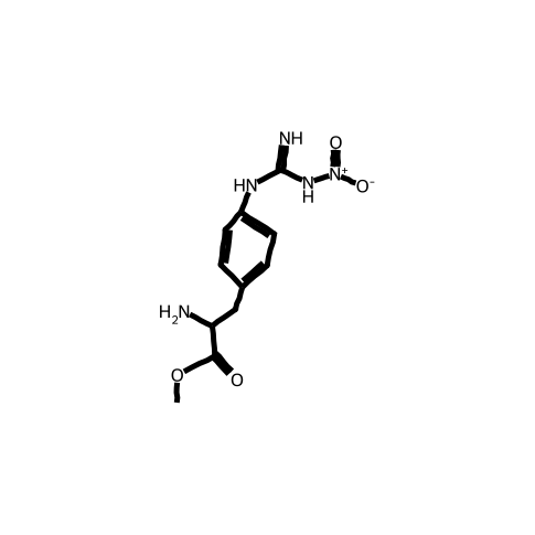 COC(=O)C(N)Cc1ccc(NC(=N)N[N+](=O)[O-])cc1